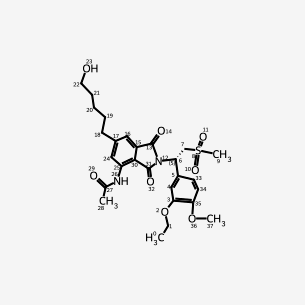 CCOc1cc([C@@H](CS(C)(=O)=O)N2C(=O)c3cc(CCCCCO)cc(NC(C)=O)c3C2=O)ccc1OC